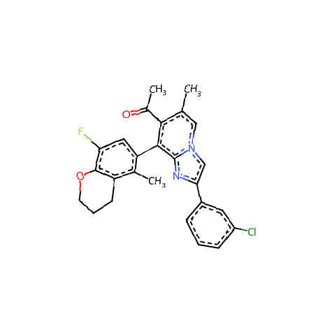 CC(=O)c1c(C)cn2cc(-c3cccc(Cl)c3)nc2c1-c1cc(F)c2c(c1C)CCCO2